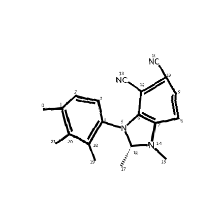 Cc1ccc(N2c3c(ccc(C#N)c3C#N)N(C)[C@@H]2C)c(C)c1C